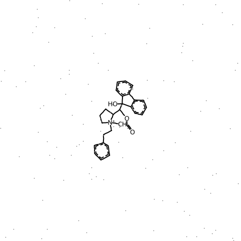 C[N+]1(CCc2ccccc2)CCCC1C(OC=O)C1(O)c2ccccc2-c2ccccc21